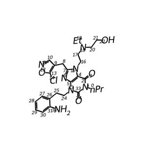 CCCn1c(=O)c2c(nc(Cc3cnoc3Cl)n2CCN(CC)CCO)n(CCc2ccccc2N)c1=O